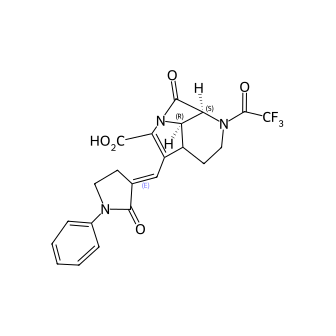 O=C(O)C1=C(/C=C2\CCN(c3ccccc3)C2=O)C2CCN(C(=O)C(F)(F)F)[C@@H]3C(=O)N1[C@H]23